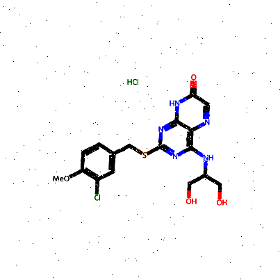 COc1ccc(CSc2nc(NC(CO)CO)c3ncc(=O)[nH]c3n2)cc1Cl.Cl